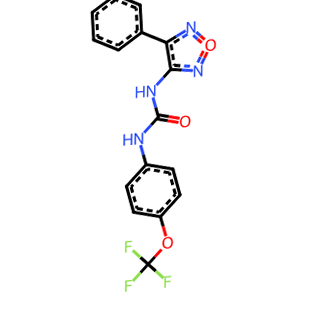 O=C(Nc1ccc(OC(F)(F)F)cc1)Nc1nonc1-c1ccccc1